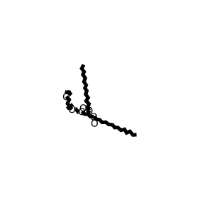 CCCCCCCCCCCCCC(=O)OCC(COCCOC(C)(C)CCOC(C)(C)C)OC(=O)CCCCCCCCCCCCC